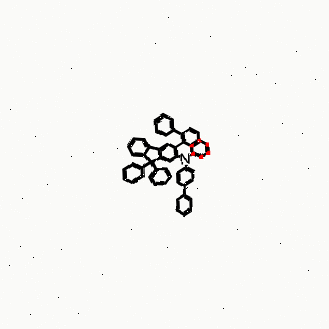 c1ccc(-c2ccc(N(c3ccccc3)c3cc4c(cc3-c3c(-c5ccccc5)ccc5c3CCCC5)-c3ccccc3C4(c3ccccc3)c3ccccc3)cc2)cc1